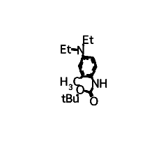 CCN(CC)c1ccc(NC(=O)OC(C)(C)C)c(C)c1